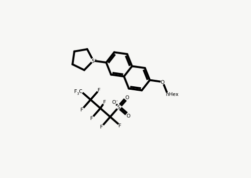 CCCCCCOc1ccc2cc([S+]3CCCC3)ccc2c1.O=S(=O)([O-])C(F)(F)C(F)(F)C(F)(F)C(F)(F)F